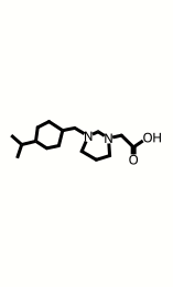 CC(C)C1CCC(CN2CCCN(CC(=O)O)C2)CC1